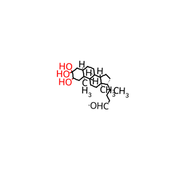 C[C@H](CC[C]=O)[C@H]1CC[C@H]2[C@@H]3CC[C@@H]4CC(O)(O)C(O)C[C@]4(C)[C@H]3CC[C@]12C